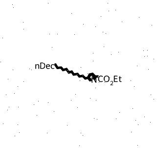 CCCCCCCCCCCCCCCCCCCCCCc1ccc(CC(=O)OCC)nc1